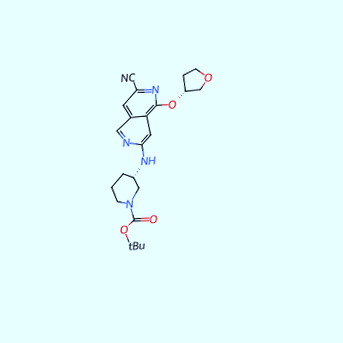 CC(C)(C)OC(=O)N1CCC[C@H](Nc2cc3c(O[C@@H]4CCOC4)nc(C#N)cc3cn2)C1